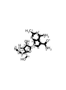 Cc1nc(N)c2c(C(N)=O)cn([C@@H]3O[C@@](CO)(N=[N+]=[N-])[C@@H](O)[C@H]3O)c2n1